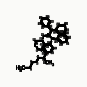 CCCCCC(C)CN1CCC[C@H](CN(P(c2ccccc2)c2ccccc2)P(c2ccccc2)c2ccccc2)C1